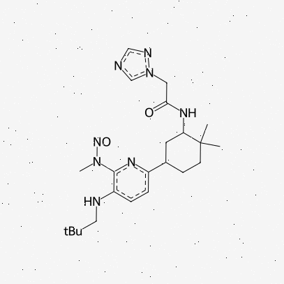 CN(N=O)c1nc(C2CCC(C)(C)C(NC(=O)Cn3cncn3)C2)ccc1NCC(C)(C)C